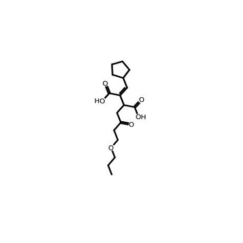 CCCOCCC(=O)CC(C(=O)O)C(=CC1CCCC1)C(=O)O